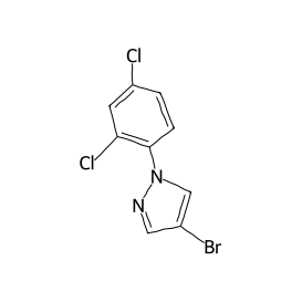 Clc1ccc(-n2cc(Br)cn2)c(Cl)c1